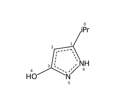 CC(C)c1cc(O)n[nH]1